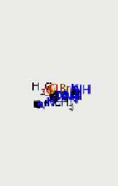 Cc1c(NCCN2CCCC2)cc(S(C)(=O)=O)cc1N1CCN(c2ncnc3[nH]nc(Br)c23)CC1